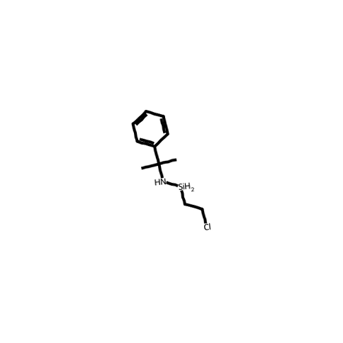 CC(C)(N[SiH2]CCCl)c1ccccc1